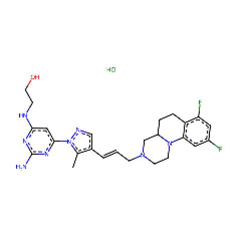 Cc1c(/C=C/CN2CCN3c4cc(F)cc(F)c4CCC3C2)cnn1-c1cc(NCCO)nc(N)n1.Cl